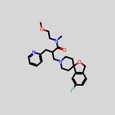 COCCN(C)C(=O)C(Cc1ccccn1)CN1CCC2(CC1)OCc1ccc(F)cc12